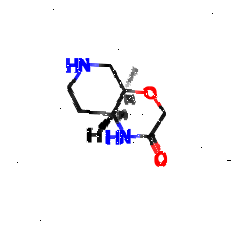 C[C@@]12CNCC[C@H]1NC(=O)CO2